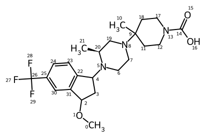 COC1CC(N2CCN(C3(C)CCN(C(=O)O)CC3)C[C@@H]2C)c2ccc(C(F)(F)F)cc21